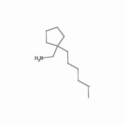 C[CH]CCCCC1(CN)CCCC1